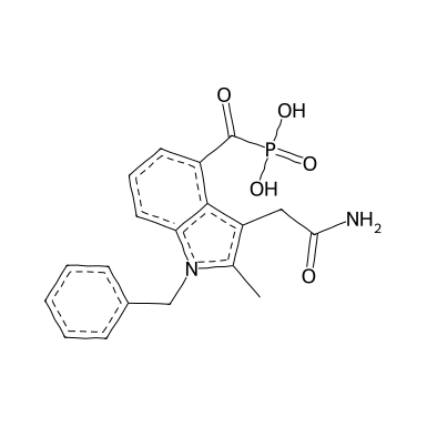 Cc1c(CC(N)=O)c2c(C(=O)P(=O)(O)O)cccc2n1Cc1ccccc1